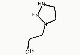 OCCN1CCNN1